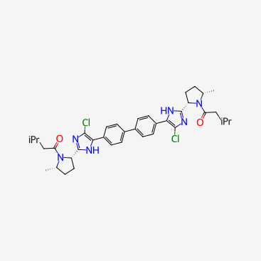 CC(C)CC(=O)N1[C@@H](C)CC[C@H]1c1nc(Cl)c(-c2ccc(-c3ccc(-c4[nH]c([C@@H]5CC[C@H](C)N5C(=O)CC(C)C)nc4Cl)cc3)cc2)[nH]1